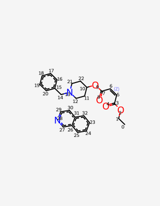 CCOC(=O)/C=C\C(=O)OC1CCN(Cc2ccccc2)CC1.c1ccc2cnccc2c1